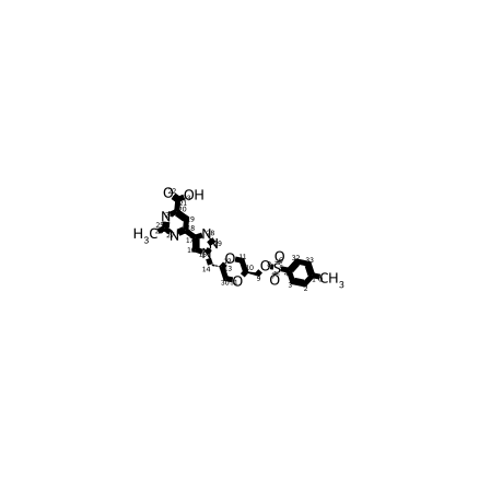 Cc1ccc(S(=O)(=O)OC[C@@H]2CO[C@@H](Cn3cc(-c4cc(C(=O)O)nc(C)n4)nn3)CO2)cc1